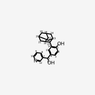 Oc1ccc(C(O)c2cccnc2)cc1C1C2CC3CC(C2)CC1C3